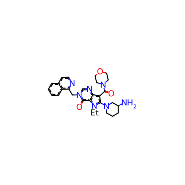 CCn1c(N2CCC[C@H](N)C2)c(C(=O)N2CCOCC2)c2ncn(Cc3nccc4ccccc34)c(=O)c21